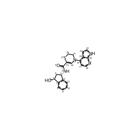 O=C(N[C@H]1C[C@H](O)c2ccccc21)C1=CN(c2ccnc3[nH]ccc23)CCS1